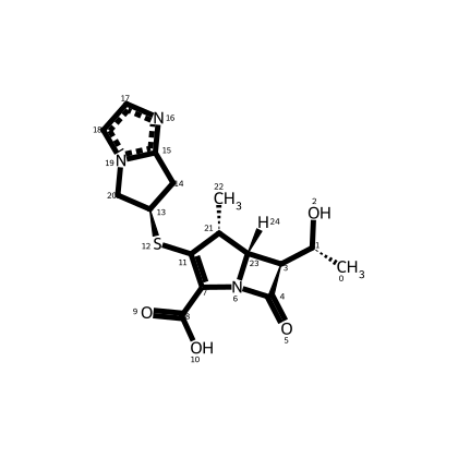 C[C@@H](O)[C@H]1C(=O)N2C(C(=O)O)=C(S[C@@H]3Cc4nccn4C3)[C@H](C)[C@H]12